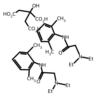 CCN(CC)CC(=O)Nc1c(C)cccc1C.CCN(CC)CC(=O)Nc1c(C)cccc1C.O=C(O)CC(O)(CC(=O)O)C(=O)O